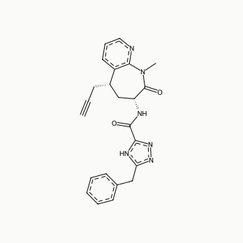 C#CC[C@H]1C[C@@H](NC(=O)c2nnc(Cc3ccccc3)[nH]2)C(=O)N(C)c2ncccc21